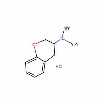 CCCN(CCC)C1COc2ccccc2C1.Cl